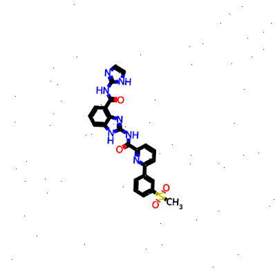 CS(=O)(=O)c1cccc(-c2cccc(C(=O)Nc3nc4c(C(=O)Nc5ncc[nH]5)cccc4[nH]3)n2)c1